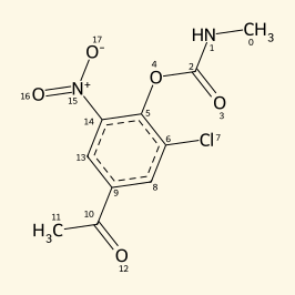 CNC(=O)Oc1c(Cl)cc(C(C)=O)cc1[N+](=O)[O-]